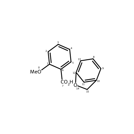 COc1ccccc1C(=O)O.c1cc2cc(c1)OC2